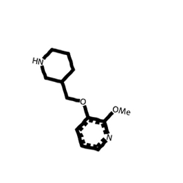 COc1ncccc1OCC1CCCNC1